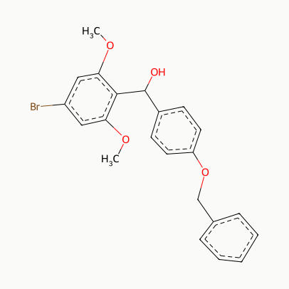 COc1cc(Br)cc(OC)c1C(O)c1ccc(OCc2ccccc2)cc1